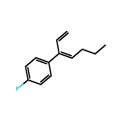 C=C/C(=C\CCC)c1ccc(F)cc1